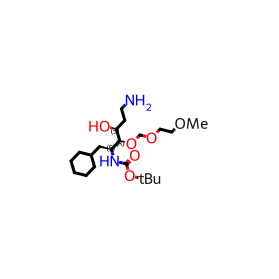 COCCOCO[C@H]([C@H](CC1CCCCC1)NC(=O)OC(C)(C)C)[C@@H](O)CCN